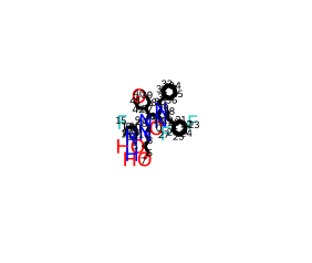 O=C(NCC(O)CO)N(C[C@@H]1CNC[C@@H]1F)C(c1nc(-c2cc(F)ccc2F)cn1Cc1ccccc1)C1CCOCC1